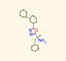 C[C@@](N)(Cc1ccccc1)c1nnc(-c2cccc(-c3ccccc3)c2)o1